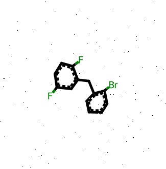 Fc1ccc(F)c(Cc2ccccc2Br)c1